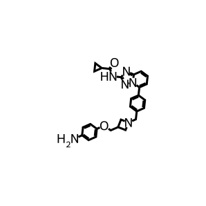 Nc1ccc(OCC2CN(Cc3ccc(-c4cccc5nc(NC(=O)C6CC6)nn45)cc3)C2)cc1